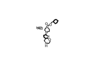 Cl.Cl.O=C(OCc1ccccc1)N1CCN(c2ccc3c(n2)OCCNC3)CC1